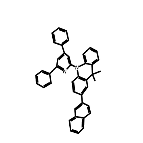 CC1(C)c2ccccc2N(c2cc(-c3ccccc3)cc(-c3ccccc3)n2)c2ccc(-c3ccc4ccccc4c3)cc21